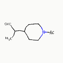 CC(=O)N1CCC(C(C)C=O)CC1